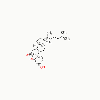 CC(C)CCC[C@@H](C)[C@H]1CC[C@H]2C(CC=O)C([C@@]3(C)CC[C@H](O)CC3=O)CC[C@]12C